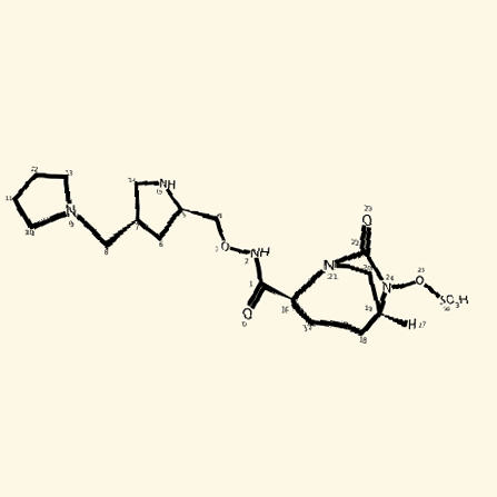 O=C(NOC[C@H]1C[C@@H](CN2CCCC2)CN1)[C@@H]1CC[C@@H]2CN1C(=O)N2OS(=O)(=O)O